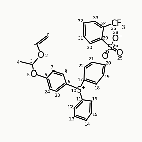 C=COC(C)Oc1ccc([S+](c2ccccc2)c2ccccc2)cc1.O=S(=O)([O-])c1ccccc1C(F)(F)F